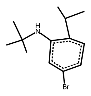 CC(C)c1ccc(Br)cc1NC(C)(C)C